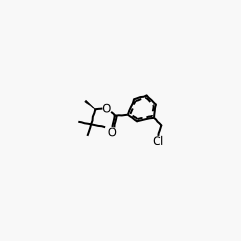 C[C@@H](OC(=O)c1cccc(CCl)c1)C(C)(C)C